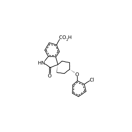 O=C(O)c1ccc2c(c1)[C@]1(CC[C@@H](Oc3ccccc3Cl)CC1)C(=O)N2